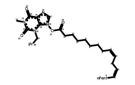 CCCCC/C=C\C/C=C\CCCCCCCC(=O)On1cnc2c(=O)n(C)c(=O)n(CC(C)C)c21